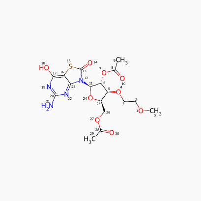 COCCO[C@@H]1[C@@H](OC(C)=O)[C@H](n2c(=O)sc3c(O)nc(N)nc32)O[C@@H]1COC(C)=O